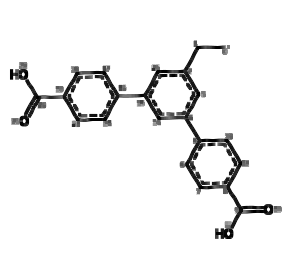 [CH2]Cc1cc(-c2ccc(C(=O)O)cc2)cc(-c2ccc(C(=O)O)cc2)c1